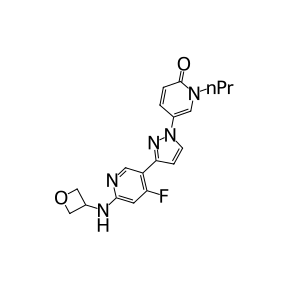 CCCn1cc(-n2ccc(-c3cnc(NC4COC4)cc3F)n2)ccc1=O